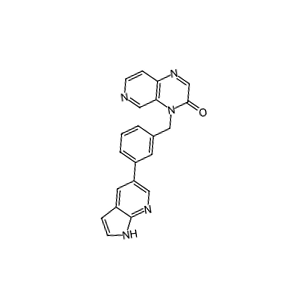 O=c1cnc2ccncc2n1Cc1cccc(-c2cnc3[nH]ccc3c2)c1